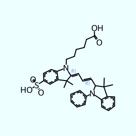 CC1(C)/C(=C\C=C\C2N(c3ccccc3)c3ccccc3C2(C)C)N(CCCCCC(=O)O)c2ccc(S(=O)(=O)O)cc21